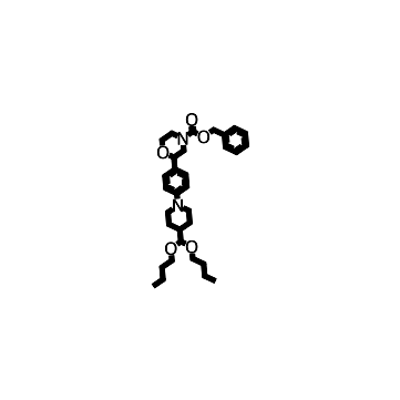 CCCCOC(OCCCC)C1CCN(c2ccc(C3CN(C(=O)OCc4ccccc4)CCO3)cc2)CC1